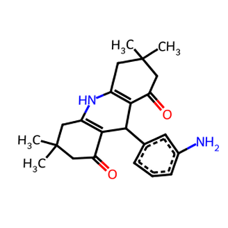 CC1(C)CC(=O)C2=C(C1)NC1=C(C(=O)CC(C)(C)C1)C2c1cccc(N)c1